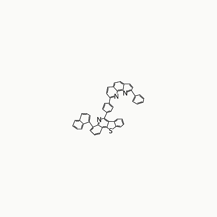 c1ccc(-c2ccc3ccc4ccc(-c5ccc(-c6nc7c(-c8cccc9ccccc89)cccc7c7sc8ccccc8c67)cc5)nc4c3n2)cc1